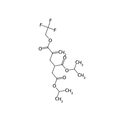 C=C(CC(CC(=O)OC(C)C)C(=O)OC(C)C)C(=O)OCC(F)(F)F